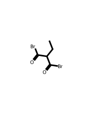 CCC(C(=O)Br)C(=O)Br